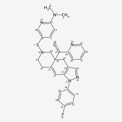 CN(C)c1ccc(SN2CCC3=Cc4c(cnn4-c4ccc(F)cc4)CC3(C(=O)c3ccccn3)C2)cn1